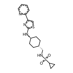 O=S(=O)(NC[C@H]1CC[C@H](Nc2nc(-c3ccccn3)cs2)CC1)C1CC1